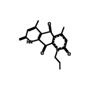 C=C1C=C(C)C2=C(N1)C(=O)c1c(c(C)cc(=O)n1CCC)C2=O